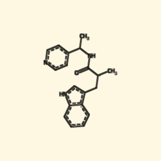 C[C](Cc1c[nH]c2ccccc12)C(=O)NC(C)c1ccncc1